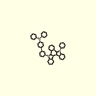 c1ccc(N(c2ccccc2)c2ccc(-c3cccc(-n4c5ccccc5c5c6c7ccccc7n(-c7ccccc7)c6c6ccccc6c54)c3)cc2)cc1